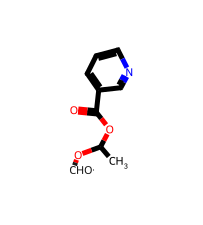 CC(O[C]=O)OC(=O)c1cccnc1